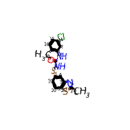 Cc1nc2cc(SNC(=O)Nc3cc(Cl)ccc3C)ccc2s1